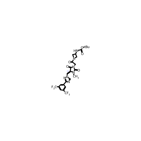 CN1C(=O)N(CC(=O)N2CC(NC(=O)OC(C)(C)C)C2)C(=O)/C1=C/n1cnc(-c2cc(C(F)(F)F)cc(C(F)(F)F)c2)n1